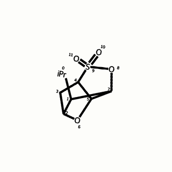 CC(C)C1C2CC3C(O2)C1OS3(=O)=O